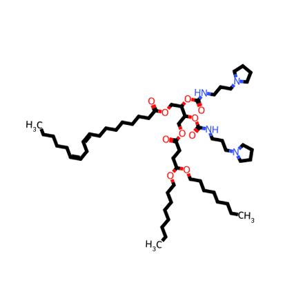 CCCCC/C=C\C/C=C\CCCCCCCC(=O)OCC(OC(=O)NCCCN1CCCC1)C(COC(=O)CCC(OCCCCCCCC)OCCCCCCCC)OC(=O)NCCCN1CCCC1